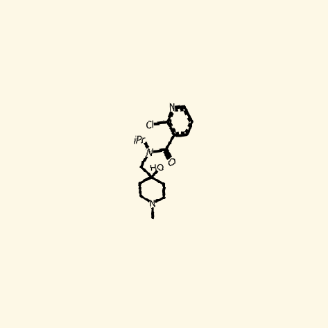 CC(C)N(CC1(O)CCN(C)CC1)C(=O)c1cccnc1Cl